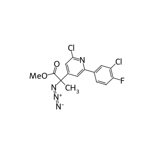 COC(=O)C(C)(N=[N+]=[N-])c1cc(Cl)nc(-c2ccc(F)c(Cl)c2)c1